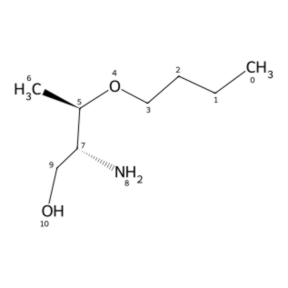 CCCCO[C@H](C)[C@H](N)CO